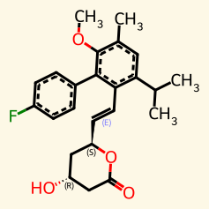 COc1c(C)cc(C(C)C)c(/C=C/[C@@H]2C[C@@H](O)CC(=O)O2)c1-c1ccc(F)cc1